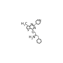 Cc1csc2c(OC[C@@H](N)Cc3ccccc3)nc(-c3ccncc3)nc12